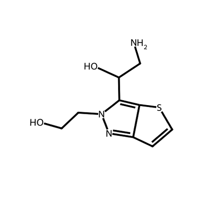 NCC(O)c1c2sccc2nn1CCO